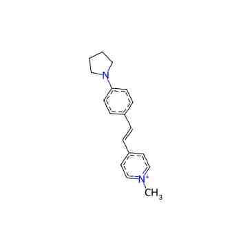 C[n+]1ccc(C=Cc2ccc(N3CCCC3)cc2)cc1